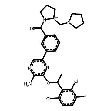 CC(Oc1nc(-c2cccc(C(=O)N3CCC[C@H]3CN3CCCC3)c2)cnc1N)c1c(Cl)ccc(F)c1Cl